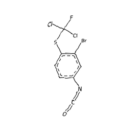 O=C=Nc1ccc(SC(F)(Cl)Cl)c(Br)c1